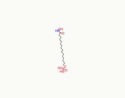 O=C(CCCCCCCCCCCCCCCOP(=O)(O)O)NO